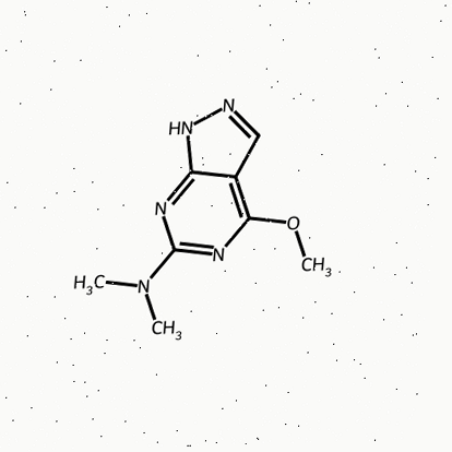 COc1nc(N(C)C)nc2[nH]ncc12